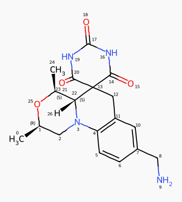 C[C@@H]1CN2c3ccc(CN)cc3CC3(C(=O)NC(=O)NC3=O)[C@H]2[C@H](C)O1